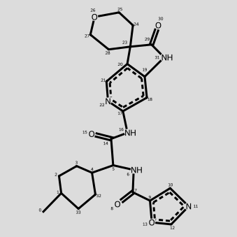 CC1CCC(C(NC(=O)c2cnco2)C(=O)Nc2cc3c(cn2)C2(CCOCC2)C(=O)N3)CC1